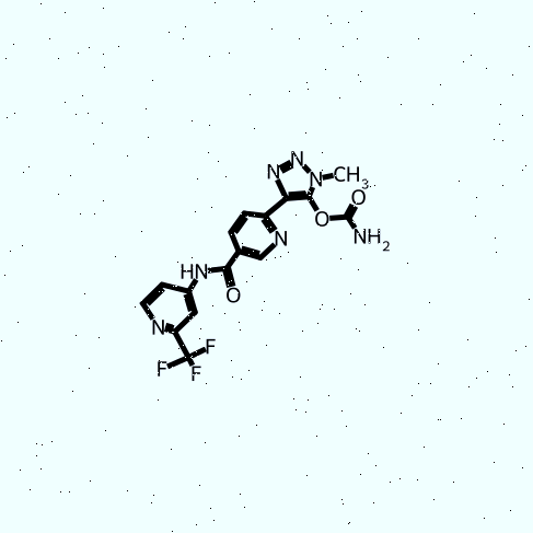 Cn1nnc(-c2ccc(C(=O)Nc3ccnc(C(F)(F)F)c3)cn2)c1OC(N)=O